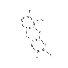 Clc1cc2c(cc1Cl)Oc1c(ccc(Cl)c1Cl)O2